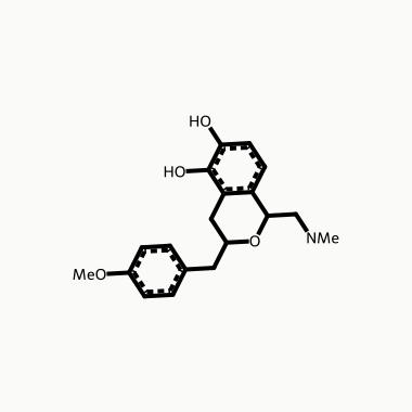 CNCC1OC(Cc2ccc(OC)cc2)Cc2c1ccc(O)c2O